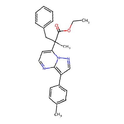 CCOC(=O)C(C)(Cc1ccccc1)c1ccnc2c(-c3ccc(C)cc3)cnn12